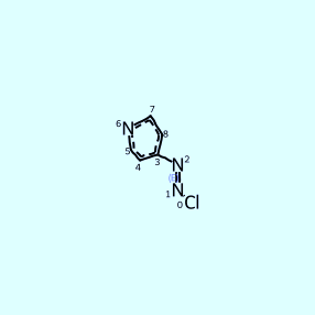 Cl/N=N/c1ccncc1